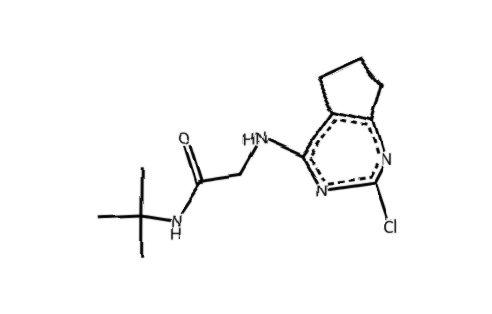 CC(C)(C)NC(=O)CNc1nc(Cl)nc2c1CCC2